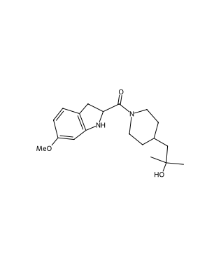 COc1ccc2c(c1)NC(C(=O)N1CCC(CC(C)(C)O)CC1)C2